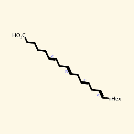 CCCCCC/C=C/C/C=C/C/C=C/C/C=C/CCCCC(=O)O